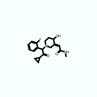 CNC(=O)/C=C1\CN(C(C(=O)C2CC2)c2ccccc2F)CCC1S